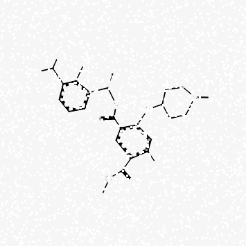 CNC(=O)c1cc(C(=O)N[C@H](C)c2cccc(C(F)F)c2F)c(NC2CCN(C)CC2)cc1F